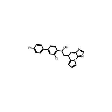 OC(CC1C=C2N=CN=C2n2cccc21)c1ccc(-c2ccc(F)cc2)cc1Cl